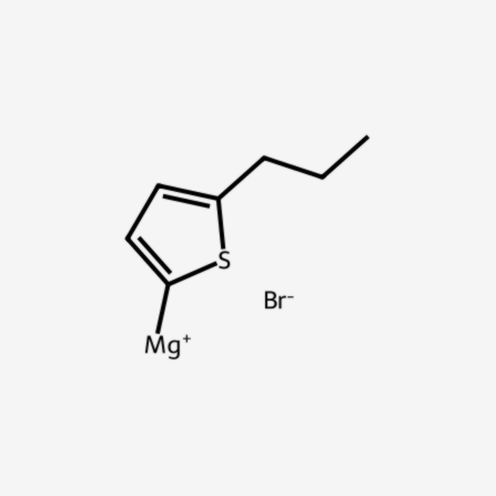 CCCc1cc[c]([Mg+])s1.[Br-]